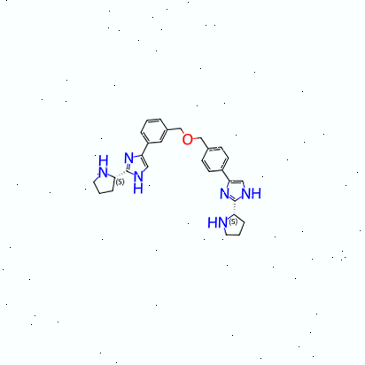 c1cc(COCc2ccc(-c3c[nH]c([C@@H]4CCCN4)n3)cc2)cc(-c2c[nH]c([C@@H]3CCCN3)n2)c1